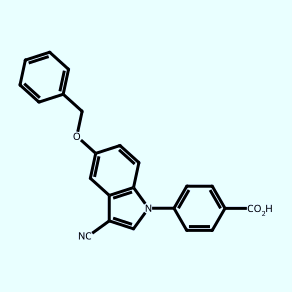 N#Cc1cn(-c2ccc(C(=O)O)cc2)c2ccc(OCc3ccccc3)cc12